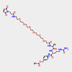 CC(C)C(=O)OCc1ccc(NC(=O)[C@H](CCCNC(N)=O)NC(=O)[C@@H](NC(=O)CCOCCOCCOCCOCCOCCOCCNC(=O)CCN2C(=O)C=CC2=O)C(C)C)cc1